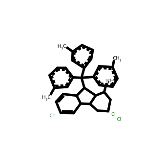 Cc1cccc(C(c2cccc(C)c2)(c2cccc(C)c2)C2C3C=CC=CC3C3CCC[CH]([Ti+3])C32)c1.[Cl-].[Cl-].[Cl-]